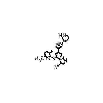 Cc1ccc(F)c(Sc2cc(-c3cnn([C@H]4CCCNC4)c3)cn3ncc(C#N)c23)n1